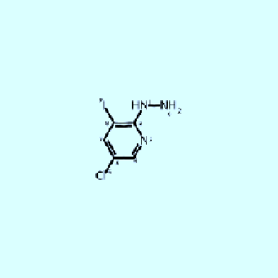 NNc1ncc(Cl)cc1I